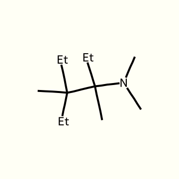 CCC(C)(CC)C(C)(CC)N(C)C